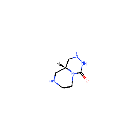 O=C1NNC[C@H]2CNCCN12